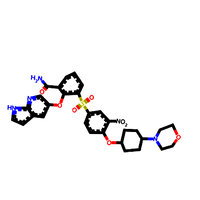 NC(=O)c1cccc(S(=O)(=O)c2ccc(OC3CCC(N4CCOCC4)CC3)c([N+](=O)[O-])c2)c1Oc1cnc2[nH]ccc2c1